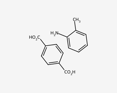 Cc1ccccc1N.O=C(O)c1ccc(C(=O)O)cc1